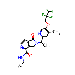 CCNC(=O)c1nccc2c1CN(C(C)c1cc(C)c(OCC(F)(F)C(F)F)cn1)C2=O